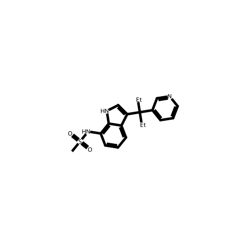 CCC(CC)(c1cccnc1)c1c[nH]c2c(NS(C)(=O)=O)cccc12